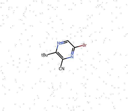 CC(C)(C)c1ncc(Br)nc1C#N